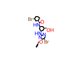 C#CCOc1nc(Nc2cc(CO)cc(NC(=O)c3cccc(Br)c3)c2)ncc1Br